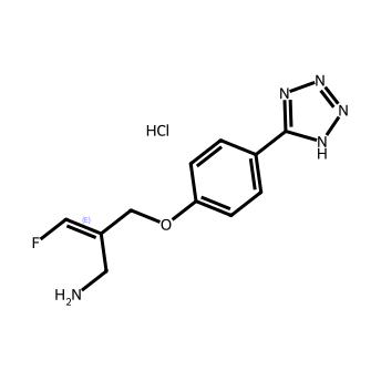 Cl.NC/C(=C\F)COc1ccc(-c2nnn[nH]2)cc1